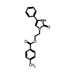 Cc1ccc(C(=O)OCCn2cc(-c3ccccc3)[nH]c2=O)cc1